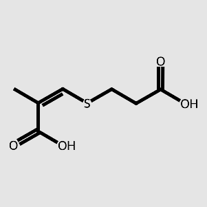 CC(=CSCCC(=O)O)C(=O)O